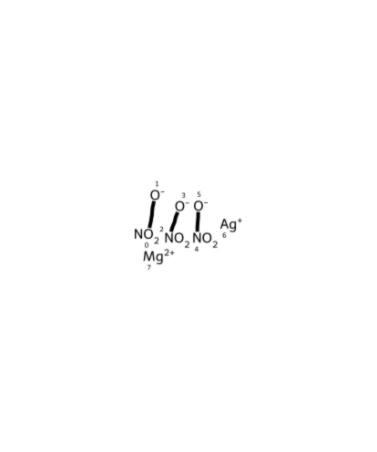 O=[N+]([O-])[O-].O=[N+]([O-])[O-].O=[N+]([O-])[O-].[Ag+].[Mg+2]